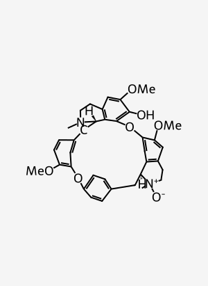 COc1ccc2cc1Oc1ccc(cc1)C[C@H]1c3cc(c(OC)cc3CC[N+]1(C)[O-])Oc1c(O)c(OC)cc3c1[C@H](C2)N(C)CC3